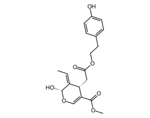 C/C=C1/[C@H](CC(=O)OCCc2ccc(O)cc2)C(C(=O)OC)=CO[C@@H]1O